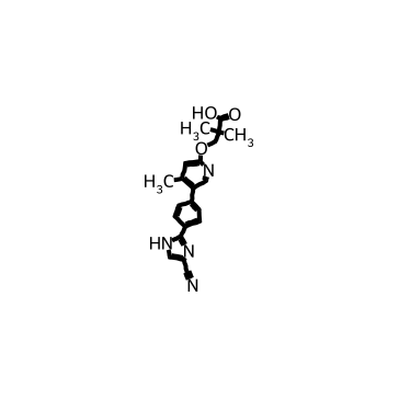 Cc1cc(OCC(C)(C)C(=O)O)ncc1-c1ccc(-c2nc(C#N)c[nH]2)cc1